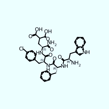 NC(=O)[C@H](CC(C(=O)O)C(=O)O)NC(=O)[C@H](Cc1ccc(Cl)cc1)NC(=O)[C@@H](Cc1ccccc1)NC(=O)[C@H](N)Cc1c[nH]c2ccccc12